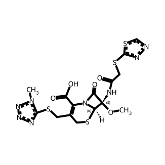 CO[C@@]1(NC(=O)CSc2nncs2)C(=O)N2C(C(=O)O)=C(CSc3nnnn3C)CS[C@@H]21